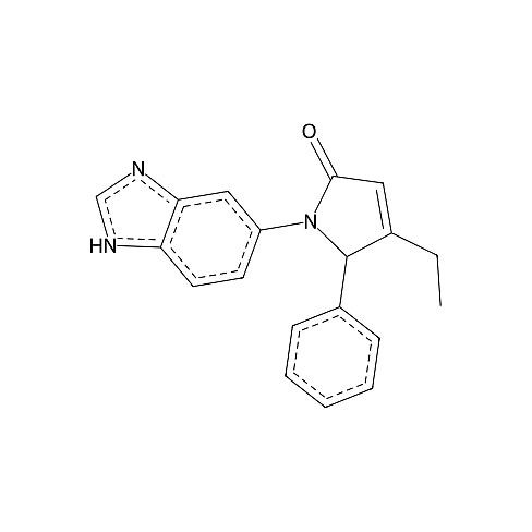 CCC1=CC(=O)N(c2ccc3[nH]cnc3c2)C1c1ccccc1